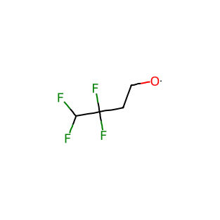 [O]CCC(F)(F)C(F)F